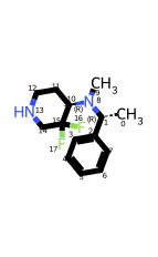 C[C@H](c1ccccc1)N(C)[C@@H]1CCNCC1(F)F